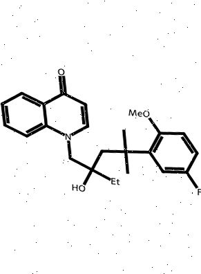 CCC(O)(Cn1ccc(=O)c2ccccc21)CC(C)(C)c1cc(F)ccc1OC